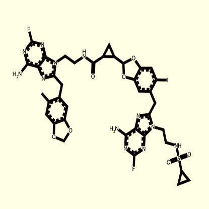 Nc1nc(F)nc2c1nc(Cc1cc3c(cc1I)OCO3)n2CCNC(=O)C1CC1C1Oc2cc(I)c(Cc3nc4c(N)nc(F)nc4n3CCNS(=O)(=O)C3CC3)cc2O1